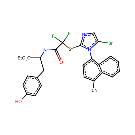 CCOC(=O)C(Cc1ccc(O)cc1)NC(=O)C(F)(F)Sc1ncc(Br)n1-c1ccc(C#N)c2ccccc12